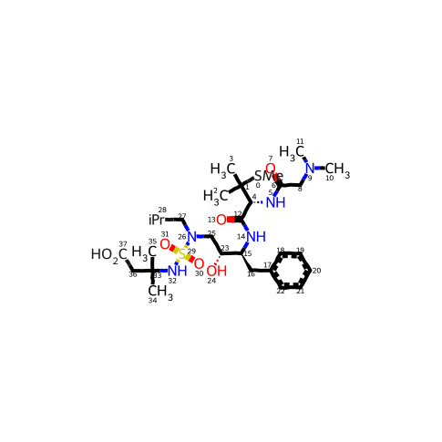 CSC(C)(C)[C@H](NC(=O)CN(C)C)C(=O)N[C@@H](Cc1ccccc1)[C@H](O)CN(CC(C)C)S(=O)(=O)NC(C)(C)CC(=O)O